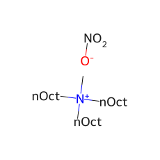 CCCCCCCC[N+](C)(CCCCCCCC)CCCCCCCC.O=[N+]([O-])[O-]